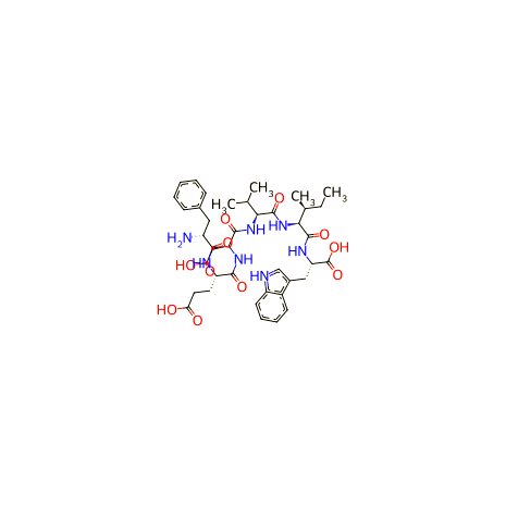 CC[C@H](C)[C@H](NC(=O)[C@@H](NC(=O)[C@H](CC(=O)O)NC(=O)[C@H](CCC(=O)O)NC(=O)[C@H](N)Cc1ccccc1)C(C)C)C(=O)N[C@@H](Cc1c[nH]c2ccccc12)C(=O)O